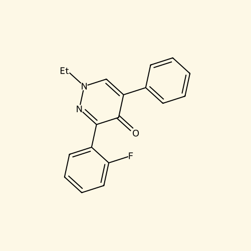 CCn1cc(-c2ccccc2)c(=O)c(-c2ccccc2F)n1